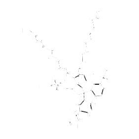 CCC(C)(C)c1ccc2c(c1)C(CCCC[N+](C)(C)C)(c1ccc(OCCOCCOCCOC)c(OCCOCCOCCOC)c1)c1cc(C(C)(C)CC)ccc1-2